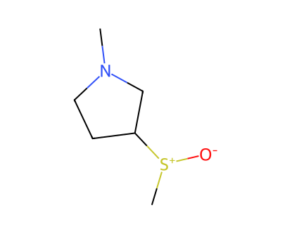 CN1CCC([S+](C)[O-])C1